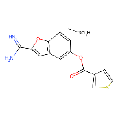 CS(=O)(=O)O.N=C(N)c1cc2cc(OC(=O)c3ccsc3)ccc2o1